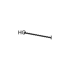 OCCCCCCCCCCCCCCCCCCCCCCCCCCCCCI